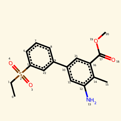 CCS(=O)(=O)c1cccc(-c2cc(N)c(C)c(C(=O)OC)c2)c1